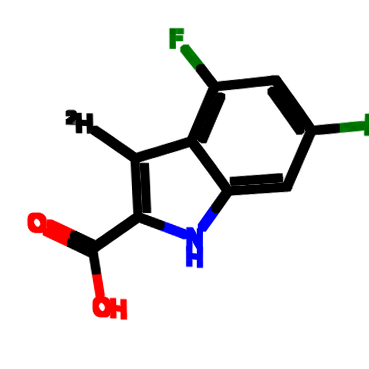 [2H]c1c(C(=O)O)[nH]c2cc(F)cc(F)c12